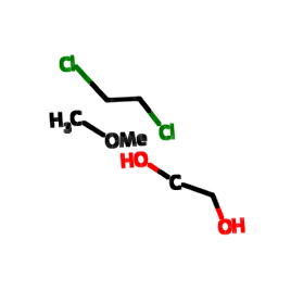 COC.ClCCCl.OCCO